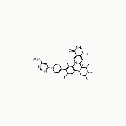 COc1cc(N2CC=C(c3c(F)cc(N4C[C@@H](C)N(C)[C@@H](C)C4)c(-n4cc(C(N)=O)c(C(F)(F)F)cc4=O)c3F)CC2)ncn1